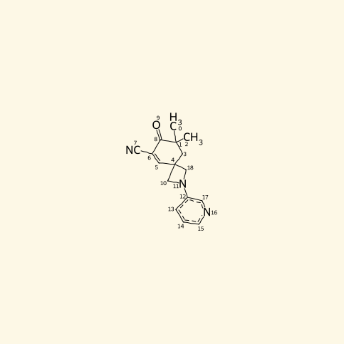 CC1(C)CC2(C=C(C#N)C1=O)CN(c1cccnc1)C2